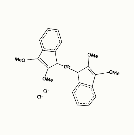 COC1=C(OC)[CH]([Ti+2][CH]2C(OC)=C(OC)c3ccccc32)c2ccccc21.[Cl-].[Cl-]